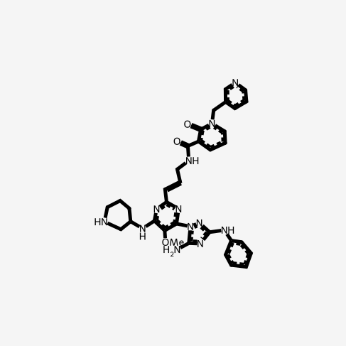 COc1c(NC2CCCNC2)nc(C=CCNC(=O)c2cccn(Cc3cccnc3)c2=O)nc1-n1nc(Nc2ccccc2)nc1N